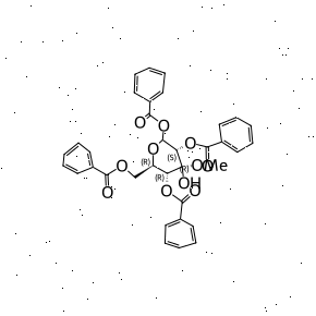 CO[C@]1(O)[C@H](OC(=O)c2ccccc2)[C@@H](COC(=O)c2ccccc2)OC(OC(=O)c2ccccc2)[C@@H]1OC(=O)c1ccccc1